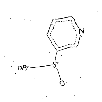 CCC[S+]([O-])c1cccnc1